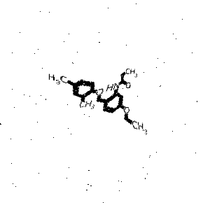 CCOc1ccc(COc2ccc(C)cc2C)c(NC(=O)CC)c1